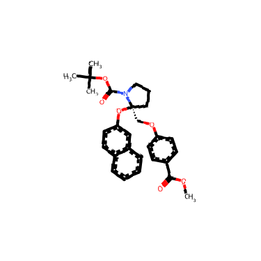 COC(=O)c1ccc(OC[C@@]2(Oc3ccc4ccccc4c3)CCCN2C(=O)OC(C)(C)C)cc1